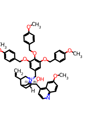 C=CC1C[N+]2(Cc3cc(OCc4ccc(OC)cc4)c(OCc4ccc(OC)cc4)c(OCc4ccc(OC)cc4)c3)CCC1C[C@H]2[C@H](O)c1ccnc2ccc(OC)cc12